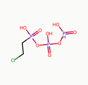 O=[PH](O)OP(=O)(O)OP(=O)(O)CCCl